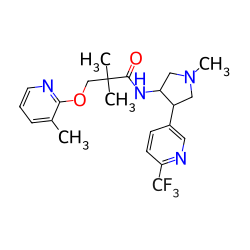 Cc1cccnc1OCC(C)(C)C(=O)NC1CN(C)CC1c1ccc(C(F)(F)F)nc1